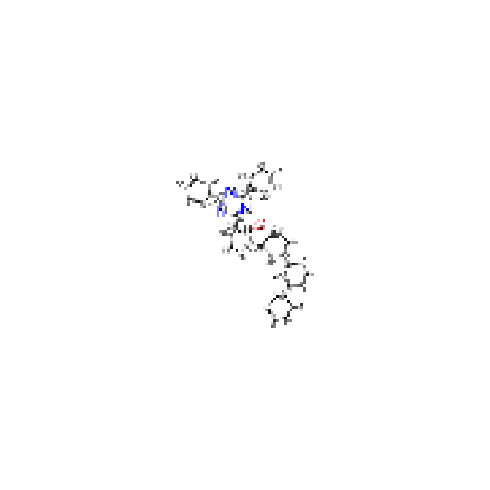 c1ccc(-c2cccc(-c3ccc4oc5c(-c6nc(-c7ccccc7)nc(-c7ccccc7)n6)cccc5c4c3)c2)cc1